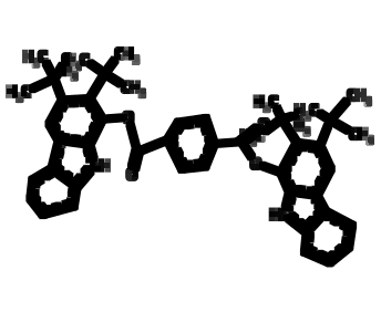 CC(C)(C)c1cc2c([nH]c3ccccc32)c(OC(=O)c2ccc(C(=O)Oc3c(C(C)(C)C)c(C(C)(C)C)cc4c3[nH]c3ccccc34)cc2)c1C(C)(C)C